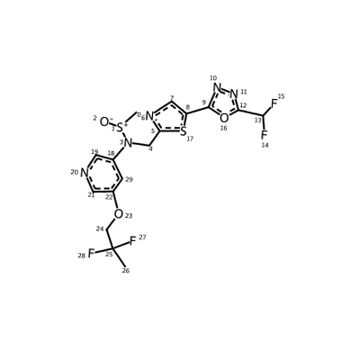 C[S+]([O-])N(Cc1ncc(-c2nnc(C(F)F)o2)s1)c1cncc(OCC(C)(F)F)c1